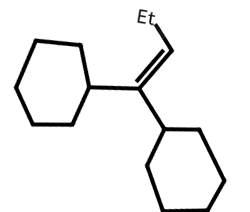 CCC=C(C1CCCCC1)C1CCCCC1